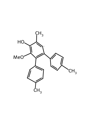 COc1c(O)c(C)[c]c(-c2ccc(C)cc2)c1-c1ccc(C)cc1